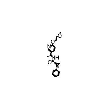 COCCOc1ccc([C@H](C)NC(=O)[C@H]2C[C@@H]2c2ccccc2)cn1